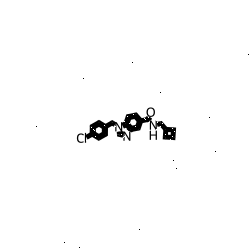 O=C(NCC1CCC1)c1ccc2c(c1)ncn2Cc1ccc(Cl)cc1